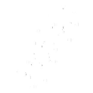 O=C[C@H](O)[C@@H](O)[C@H](O[C@H]1O[C@H](CO)[C@@H](O[C@@H]2OC(CO)[C@@H](N[C@H]3C=C(CO)[C@@H](O)[C@H](O)[C@H]3O)[C@H](O)[C@H]2O)[C@H](O)[C@H]1O)[C@H](O)CO